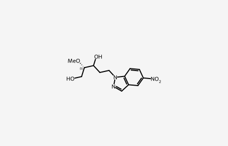 CO[C@@H](CO)C(O)CCn1ncc2cc([N+](=O)[O-])ccc21